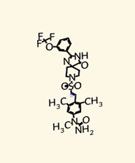 Cc1cc(N(C)C(N)=O)cc(C)c1/C=C/S(=O)(=O)N1CCC2(CC1)N=C(c1cccc(OC(F)(F)F)c1)NC2=O